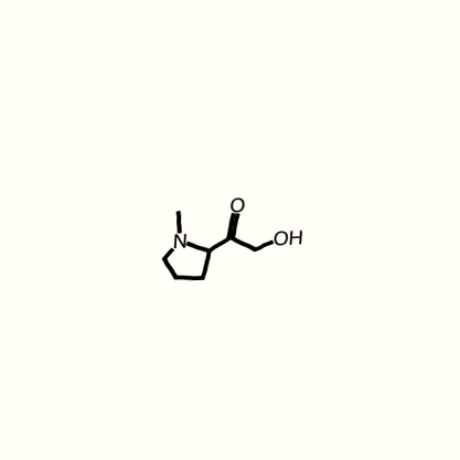 CN1CCCC1C(=O)CO